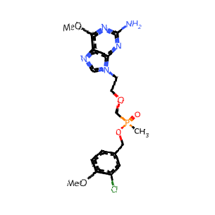 COc1ccc(COP(C)(=O)COCCn2cnc3c(OC)nc(N)nc32)cc1Cl